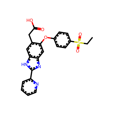 CCS(=O)(=O)c1ccc(Oc2cc3nc(-c4ccccn4)[nH]c3cc2CC(=O)O)cc1